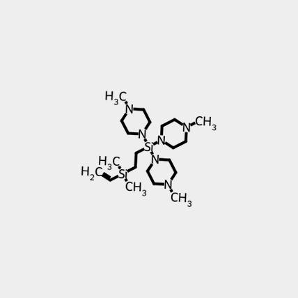 C=C[Si](C)(C)CC[Si](N1CCN(C)CC1)(N1CCN(C)CC1)N1CCN(C)CC1